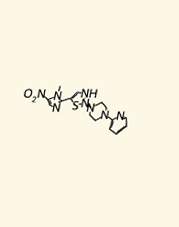 Cn1c([N+](=O)[O-])cnc1C1=CNN(N2CCN(c3ccccn3)CC2)S1